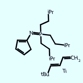 C=CC=CC(C)(C)C.CC(C)CCP(CCC(C)C)(CCC(C)C)=NC1=CC=CC1.[Ti]